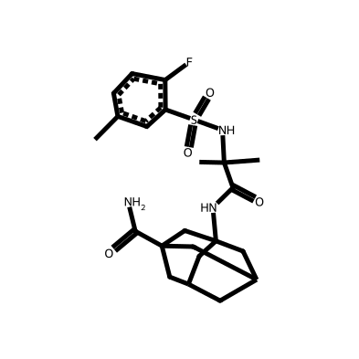 Cc1ccc(F)c(S(=O)(=O)NC(C)(C)C(=O)NC23CC4CC(C2)CC(C(N)=O)(C4)C3)c1